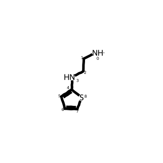 [NH]CCNc1cccs1